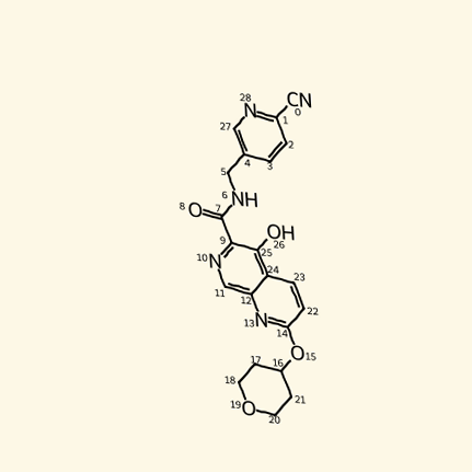 N#Cc1ccc(CNC(=O)c2ncc3nc(OC4CCOCC4)ccc3c2O)cn1